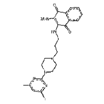 CNC1=C(NCCCN2CCN(c3nc(C)cc(I)n3)CC2)C(=O)c2ccccc2C1=O